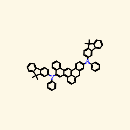 CC1(C)c2ccccc2-c2cc(N(c3ccccc3)c3ccc4c(c3)Cc3cccc5c3c-4cc3c4ccccc4c(N(c4ccccc4)c4ccc6c(c4)C(C)(C)c4ccccc4-6)cc53)ccc21